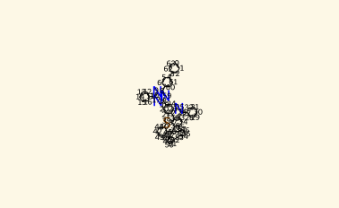 c1ccc(-c2ccc(-c3nc(-c4ccccc4)nc(-c4ccc5c(c4)nc(-c4ccccc4)c4ccc6c(c45)Sc4ccccc4C64c5ccccc5-c5ccccc54)n3)cc2)cc1